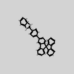 c1ccc2c(c1)-c1ccccc1C21c2ccccc2-c2cc(-c3ccc(-c4nc5ccccc5s4)cc3)ccc21